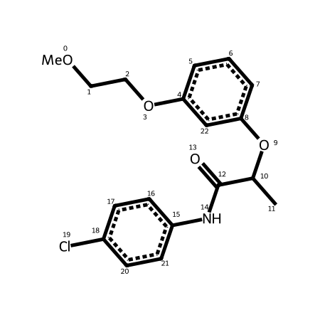 COCCOc1cccc(OC(C)C(=O)Nc2ccc(Cl)cc2)c1